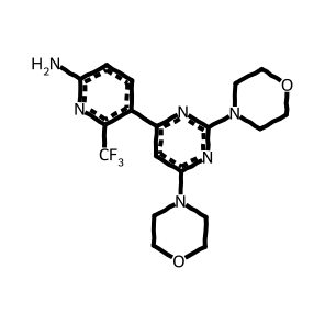 Nc1ccc(-c2cc(N3CCOCC3)nc(N3CCOCC3)n2)c(C(F)(F)F)n1